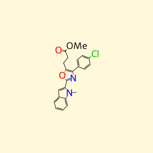 COC(=O)CCc1oc(-c2cc3ccccc3n2C)nc1-c1ccc(Cl)cc1